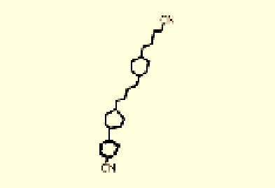 N#CC=CCCC1CCC(CCCCC2CCC(c3ccc(C#N)cc3)CC2)CC1